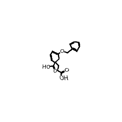 O=C(O)CCC1(C(=O)O)C=CC=C(OCc2ccccc2)C1